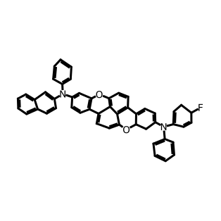 FC1C=CC(N(C2=CC=C3c4ccc5c6c(ccc(c46)OC3C2)-c2ccc(N(c3ccccc3)c3ccc4ccccc4c3)cc2O5)c2ccccc2)=CC1